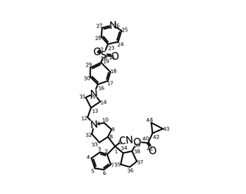 N#CC(c1ccccc1)(C1CCN(CC2CN(c3ccc(S(=O)(=O)c4ccncc4)cc3)C2)CC1)C1CCCC1OC(=O)C1CC1